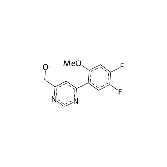 COc1cc(F)c(F)cc1-c1cc(C[O])ncn1